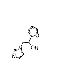 OC(Cn1ccnc1)c1ccco1